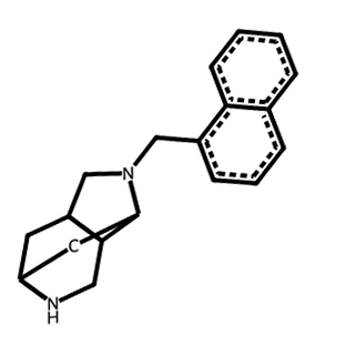 c1ccc2c(CN3CC4CC5CC3C4CN5)cccc2c1